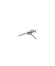 CCCCCCCCCCCCSCC(CCO)OCCCCCCCCCC